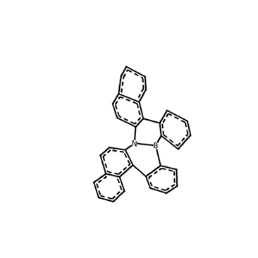 c1ccc2c(c1)B1c3ccccc3-c3c(ccc4ccccc34)N1c1ccc3ccccc3c1-2